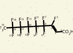 O=C(O)C=C(F)C(F)(F)C(F)(F)C(F)(F)C(F)(F)C(F)(F)C(F)(F)F